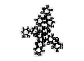 c1ccc(-c2ccc(-c3nc(-c4cc5oc6ccccc6c5cc4-n4c5ccccc5c5cc6ccccc6cc54)nc(-c4cccc5c4c4ccccc4n5-c4ccccc4)n3)cc2)cc1